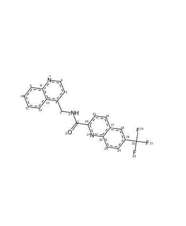 O=C(NCc1ccnc2ccccc12)c1ccc2cc(C(F)(F)F)ccc2n1